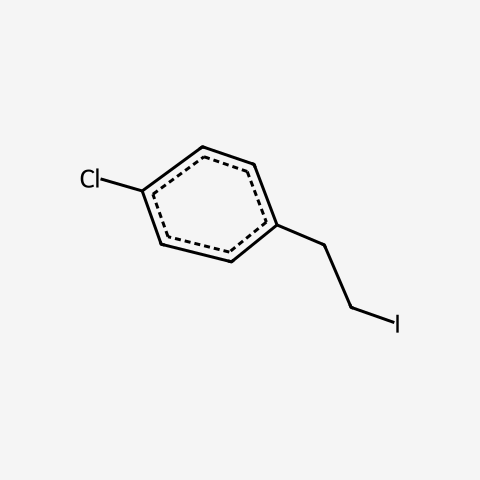 Clc1ccc(CCI)cc1